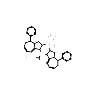 C[C](C)=[Zr]([CH]1C2=CC=CCC(c3ccccc3)C2CC1C)[CH]1C2=CC=CCC(c3ccccc3)C2CC1C.Cl.Cl